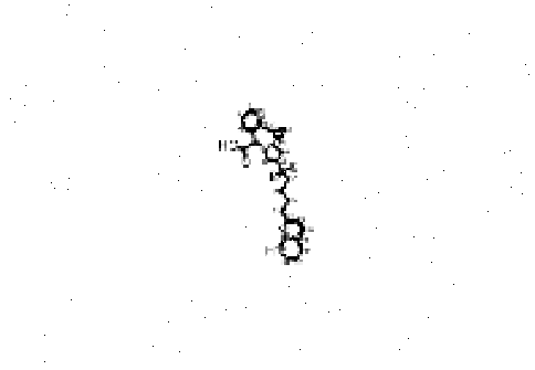 O=C(O)C(c1cccnc1C1CC1)N1CCC(C(F)(F)CCCCc2ccc3c(n2)NCCC3)C1